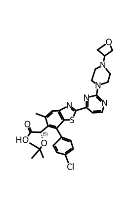 Cc1cc2nc(-c3ccnc(N4CCN(C5COC5)CC4)n3)sc2c(-c2ccc(Cl)cc2)c1[C@H](OC(C)(C)C)C(=O)O